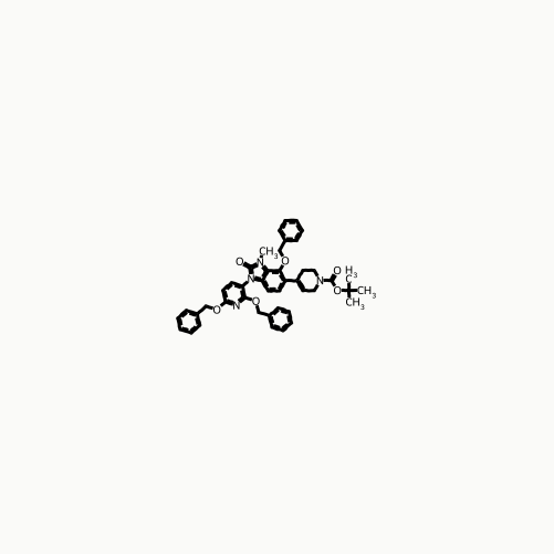 Cn1c(=O)n(-c2ccc(OCc3ccccc3)nc2OCc2ccccc2)c2ccc(C3=CCN(C(=O)OC(C)(C)C)CC3)c(OCc3ccccc3)c21